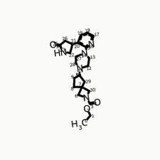 CCOC(=O)N1CC2(CC[C@@H](N3CCN(c4ncccc4C4CNC(=O)C4)CC3)C2)C1